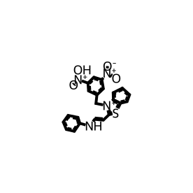 O=[N+]([O-])c1cc(C[n+]2c(C=CNc3ccccc3)sc3ccccc32)cc([N+](=O)O)c1